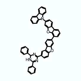 c1ccc(C2=NC(c3ccc4oc5cc(-c6cccc7c6oc6cc(-n8c9ccccc9c9ccccc98)ccc67)ccc5c4c3)=NC(c3ccccc3)N2)cc1